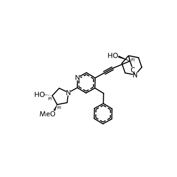 CO[C@@H]1CN(c2cc(Cc3ccccc3)c(C#C[C@@]3(O)CN4CCC3CC4)cn2)C[C@H]1O